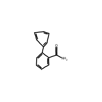 NC(=O)c1c[c]ccc1-c1ccccc1